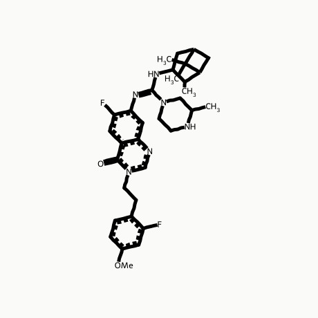 COc1ccc(CCn2cnc3cc(N=C(NC4CC5CC(C4C)C5(C)C)N4CCNC(C)C4)c(F)cc3c2=O)c(F)c1